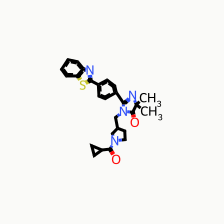 CC1(C)N=C(c2ccc(-c3nc4ccccc4s3)cc2)N(CC2CCN(C(=O)C3CC3)C2)C1=O